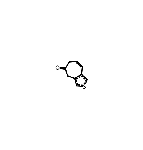 O=C1CC=Cc2cscc2C1